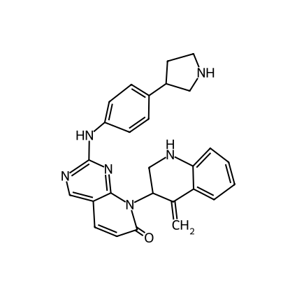 C=C1c2ccccc2NCC1n1c(=O)ccc2cnc(Nc3ccc(C4CCNC4)cc3)nc21